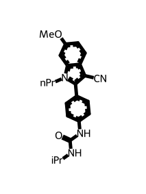 CCCn1c(-c2ccc(NC(=O)NC(C)C)cc2)c(C#N)c2ccc(OC)cc21